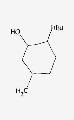 CCCCC1CCC(C)CC1O